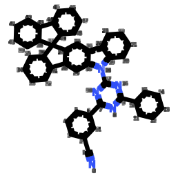 N#Cc1cccc(-c2nc(-c3ccccc3)nc(-n3c4ccccc4c4cc5c(cc43)-c3ccccc3C53c4ccccc4-c4ccccc43)n2)c1